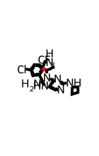 NC1(c2cc(Cl)cc(C(F)(F)F)c2)Nc2cnc(NC3CCC3)nc2N1C1CCNC1